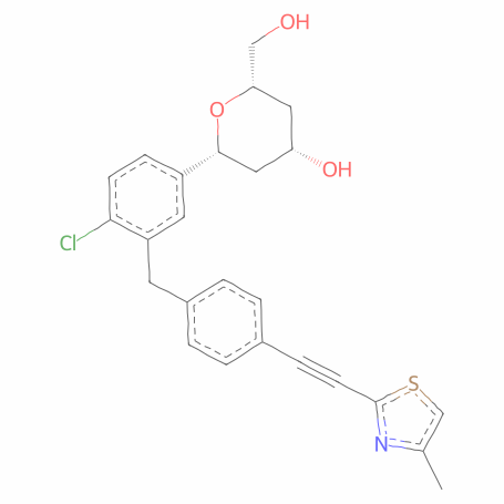 Cc1csc(C#Cc2ccc(Cc3cc([C@H]4C[C@@H](O)C[C@@H](CO)O4)ccc3Cl)cc2)n1